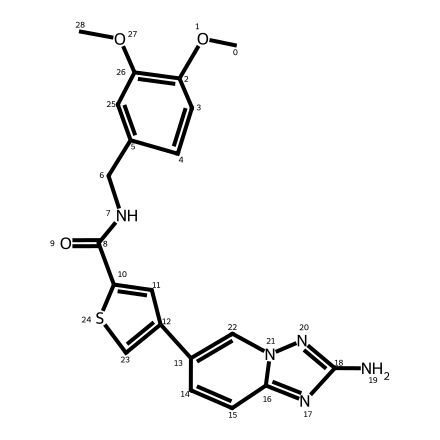 COc1ccc(CNC(=O)c2cc(-c3ccc4nc(N)nn4c3)cs2)cc1OC